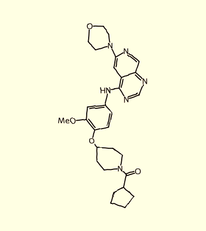 COc1cc(Nc2ncnc3cnc(N4CCOCC4)cc23)ccc1OC1CCN(C(=O)C2CCCC2)CC1